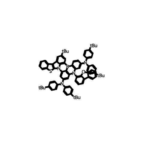 CC(C)(C)c1ccc(N(c2ccc(C(C)(C)C)cc2)c2ccc3c(c2)N(c2cccc4c2oc2ccccc24)c2cc(N(c4ccc(C(C)(C)C)cc4)c4ccc(C(C)(C)C)cc4)cc4c2B3c2cc(C(C)(C)C)cc3c5c6ccccc6sc5n-4c23)cc1